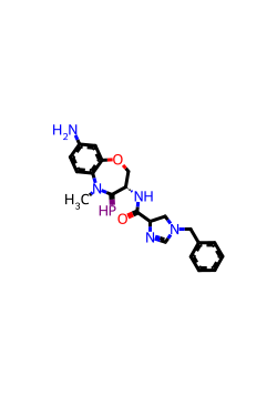 CN1C(=P)[C@@H](NC(=O)C2CN(Cc3ccccc3)C=N2)COc2cc(N)ccc21